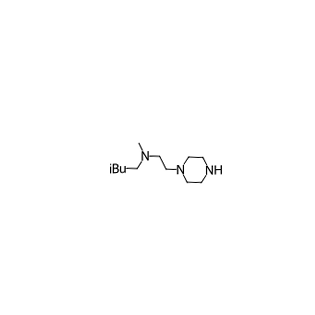 CCC(C)CN(C)CCN1CCNCC1